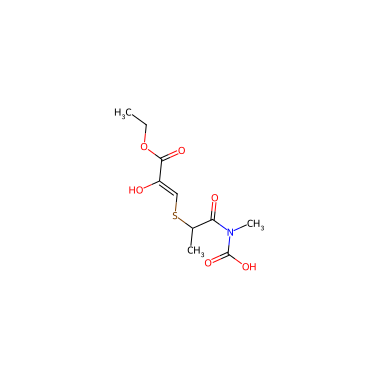 CCOC(=O)/C(O)=C/SC(C)C(=O)N(C)C(=O)O